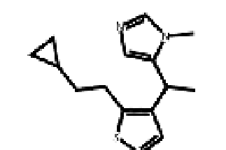 CC(c1ccsc1CCC1CC1)c1cncn1C